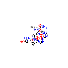 CC[C@H](C)[C@H](NC(=O)[C@@H]1CCCN1C(=O)CNC(=O)[C@@H]1CCCN1C(=O)[C@H](Cc1ccccc1)NC(=O)[C@@H]1CCCN1C(=O)[C@@H](N)Cc1ccc(O)cc1)C(=O)N1CCC[C@H]1C(=O)N[C@@H](CC(N)=O)C(=O)O